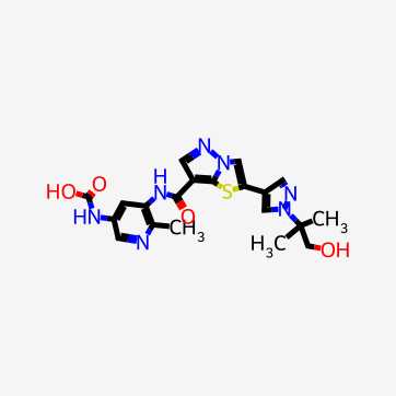 Cc1ncc(NC(=O)O)cc1NC(=O)c1cnn2cc(-c3cnn(C(C)(C)CO)c3)sc12